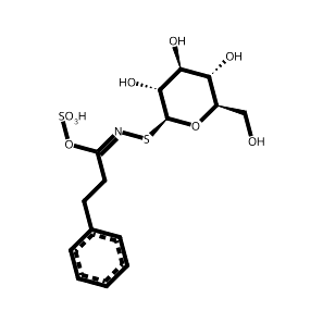 O=S(=O)(O)O/C(CCc1ccccc1)=N/S[C@@H]1O[C@H](CO)[C@@H](O)[C@H](O)[C@H]1O